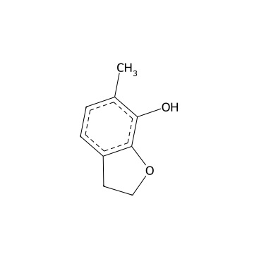 Cc1ccc2c(c1O)OCC2